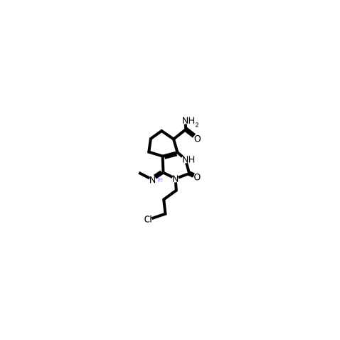 C/N=c1\c2c([nH]c(=O)n1CCCCl)C(C(N)=O)CCC2